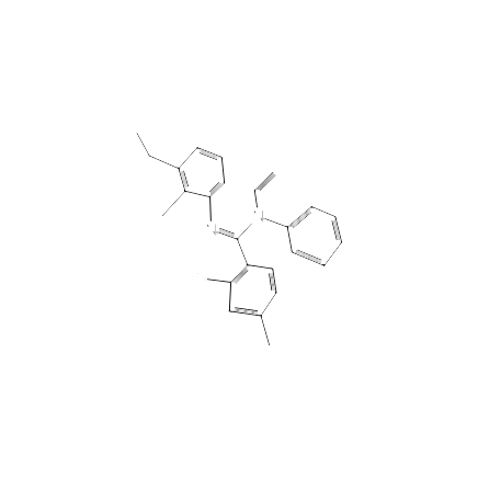 C=CN(/C(=N\c1cccc(CC)c1C)c1ccc(C)cc1Cl)c1ccccc1